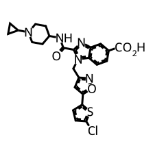 O=C(O)c1ccc2c(c1)nc(C(=O)NC1CCN(C3CC3)CC1)n2Cc1cc(-c2ccc(Cl)s2)on1